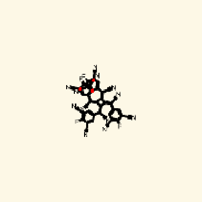 N#CC(=C1C(=C(C#N)c2cc(C#N)c(F)c(C#N)c2)C(=C(C#N)c2cc(C#N)c(F)c(C#N)c2)C1=C(C#N)c1cc(C#N)c(F)c(C#N)c1)c1cc(C#N)c(F)c(C#N)c1